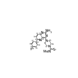 CNC(=S)N1CCN(c2nc(N)nc3ccc(-c4ccc(F)cc4)nc23)CC1